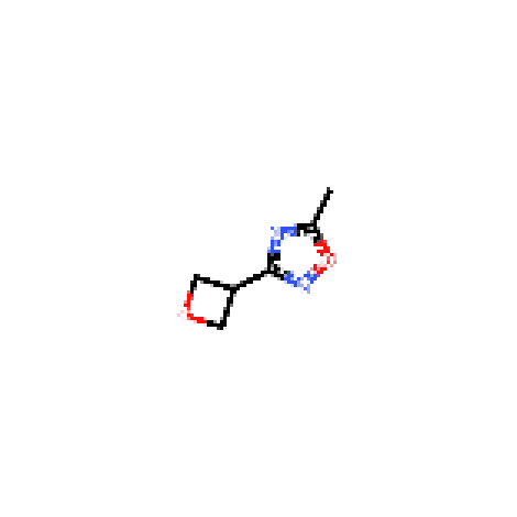 Cc1nc(C2COC2)no1